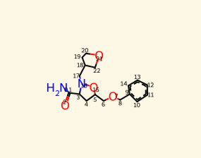 NC(=O)C1CC(COCc2ccccc2)ON1CC1CCOC1